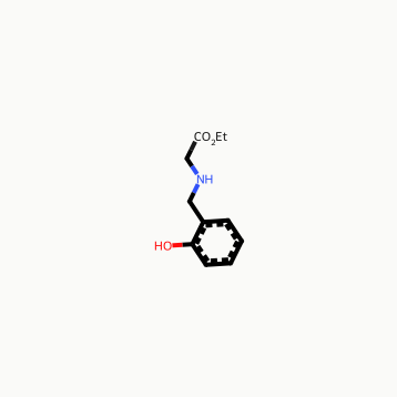 CCOC(=O)CNCc1ccccc1O